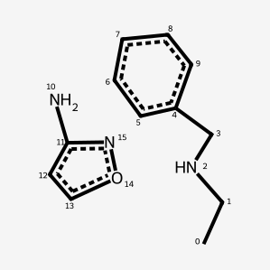 CCNCc1ccccc1.Nc1ccon1